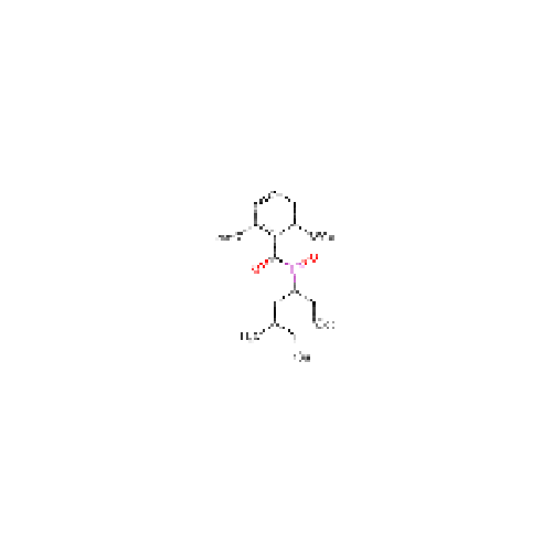 CCCCCCCCCCCC(CC(C)CC(C)(C)C)[P](=O)C(=O)c1c(OC)cccc1OC